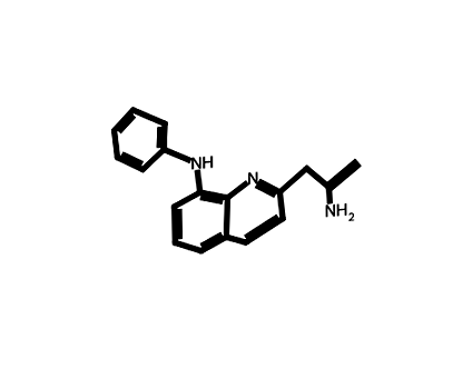 C=C(N)Cc1ccc2cccc(Nc3ccccc3)c2n1